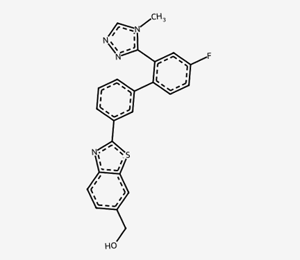 Cn1cnnc1-c1cc(F)ccc1-c1cccc(-c2nc3ccc(CO)cc3s2)c1